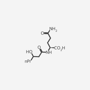 CCCC(O)CC(=O)N[C@@H](CCC(N)=O)C(=O)O